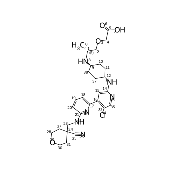 C[C@H](COCC(=O)O)N[C@H]1CC[C@H](Nc2cc(-c3cccc(NCC4(C#N)CCOCC4)n3)c(Cl)cn2)CC1